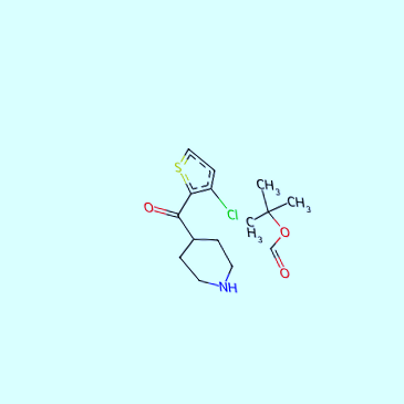 CC(C)(C)OC=O.O=C(c1sccc1Cl)C1CCNCC1